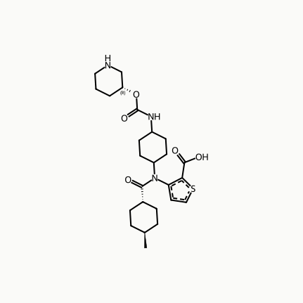 C[C@H]1CC[C@H](C(=O)N(c2ccsc2C(=O)O)C2CCC(NC(=O)O[C@@H]3CCCNC3)CC2)CC1